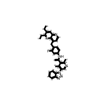 C=C(Nc1ccc(Cc2ccnc3cc(CC)c(CC)nc23)c(F)c1)c1c(C)ncc(-n2nnc3ccccc32)c1C